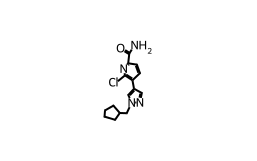 NC(=O)c1ccc(-c2cnn(CC3CCCC3)c2)c(Cl)n1